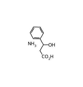 N.O=C(O)CC(O)c1ccccc1